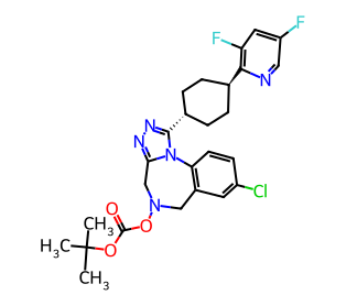 CC(C)(C)OC(=O)ON1Cc2cc(Cl)ccc2-n2c(nnc2[C@H]2CC[C@H](c3ncc(F)cc3F)CC2)C1